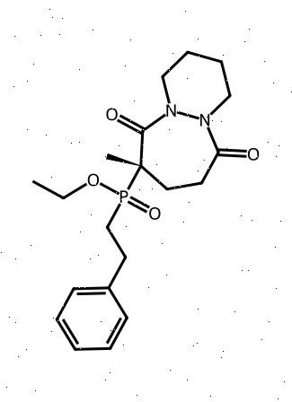 CCOP(=O)(CCc1ccccc1)[C@@]1(C)CCC(=O)N2CCCCN2C1=O